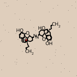 C=CCN1CCC23c4c5ccc(O)c4OC2/C(=N/N=C2\CCC4(O)C6Cc7ccc(O)c8c7C4(CCN6CC=C)C2O8)CCC3(O)C1C5